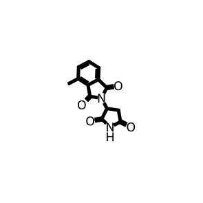 Cc1cccc2c1C(=O)N(C1CC(=O)NC1=O)C2=O